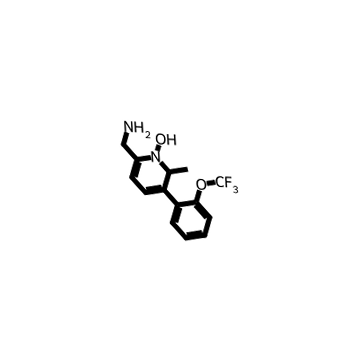 CC1C(c2ccccc2OC(F)(F)F)=CC=C(CN)N1O